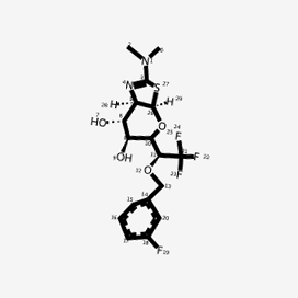 CN(C)C1=N[C@@H]2[C@@H](O)[C@H](O)C([C@H](OCc3cccc(F)c3)C(F)(F)F)O[C@@H]2S1